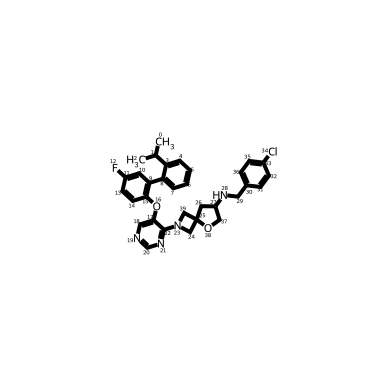 CC(C)c1ccccc1-c1cc(F)ccc1Oc1cncnc1N1CC2(CC(NCc3ccc(Cl)cc3)CO2)C1